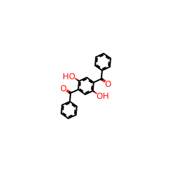 O=C(c1ccccc1)c1cc(O)c(C(=O)c2ccccc2)cc1O